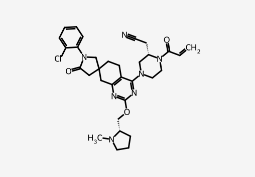 C=CC(=O)N1CCN(c2nc(OC[C@@H]3CCCN3C)nc3c2CCC2(CC(=O)N(c4ccccc4Cl)C2)C3)C[C@@H]1CC#N